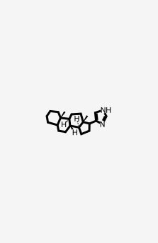 C[C@]12CCCCC1CC[C@@H]1[C@@H]2CC[C@]2(C)C(c3c[nH]cn3)CC[C@@H]12